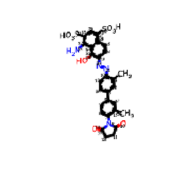 Cc1cc(-c2ccc(N3C(=O)CCC3=O)c(C)c2)ccc1/N=N/c1ccc2c(S(=O)(=O)O)cc(S(=O)(=O)O)c(N)c2c1O